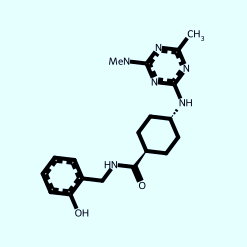 CNc1nc(C)nc(N[C@H]2CC[C@H](C(=O)NCc3ccccc3O)CC2)n1